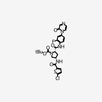 CC(C)(C)OC(=O)N1C[C@@H](NC(=O)c2ccc(Cl)s2)C[C@H]1C(=O)Nc1ccc(-n2ccncc2=O)cc1F